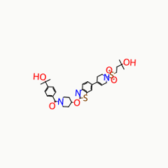 CC(C)(O)CCS(=O)(=O)N1CC=C(c2ccc3nc(OC4CCN(C(=O)c5ccc(C(C)(C)O)cc5)CC4)sc3c2)CC1